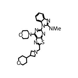 CNc1nc2ccccc2n1-c1nc(N2CCOCC2)c2nc(CN3CC(C4CCOCC4)C3)sc2n1